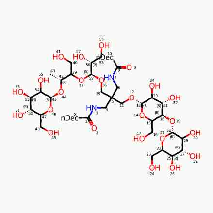 CCCCCCCCCCC(=O)NCC(CNC(=O)CCCCCCCCCC)(CO[C@H]1OC(CO)[C@H](O[C@H]2OC(CO)[C@H](O)[C@@H](O)C2O)[C@@H](O)C1O)CO[C@@H](OC(CO)[C@@H](C)O[C@H]1OC(CO)[C@H](O)[C@@H](O)C1O)[C@H](O)CO